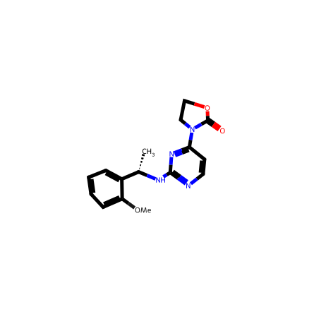 COc1ccccc1[C@H](C)Nc1nccc(N2CCOC2=O)n1